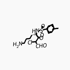 Cc1ccc(S(=O)(=O)N[C@@H](CCCCN)C(=O)C(Cl)C=O)cc1